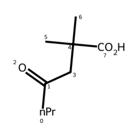 CCCC(=O)CC(C)(C)C(=O)O